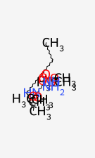 CCCCCCCC/C=C\CCCCCCCCC(CCCCCCC/C=C\CCCCCCCC)OC(=O)C(CC(=O)OC(C)(C)C)NC(=O)C(N)CCCCNC(=O)OC(C)(C)C